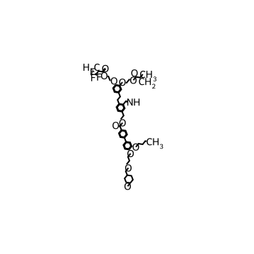 C=C(C)C(=O)OCCOc1cc(CCc2ccc(CCOC(=O)c3ccc(-c4ccc(OCCCOCC5CCC6OC6C5)c(OCCCC)c4)cc3)cc2C=N)ccc1OCCOC(=O)C(=C)C(F)(F)F